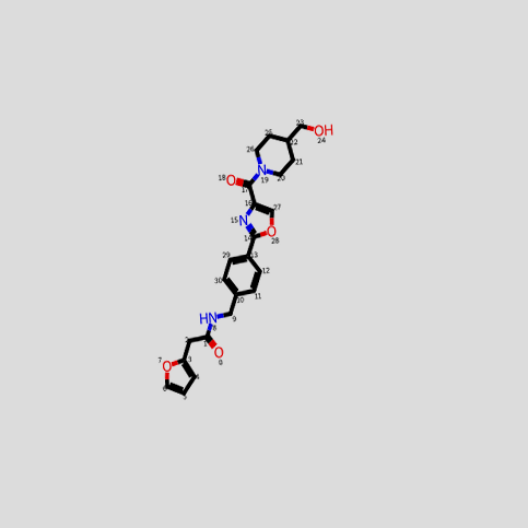 O=C(Cc1ccco1)NCc1ccc(-c2nc(C(=O)N3CCC(CO)CC3)co2)cc1